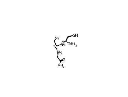 NC(=O)CNC[C@@H](CS)NC[C@H](N)CS